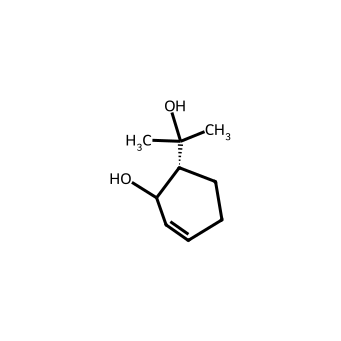 CC(C)(O)[C@@H]1CCC=CC1O